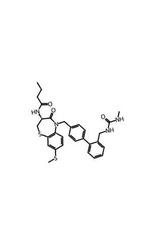 CCCC(=O)N[C@@H]1CSc2cc(SC)ccc2N(Cc2ccc(-c3ccccc3CNC(=O)NC)cc2)C1=O